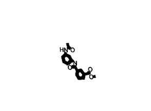 COC(=O)c1cccc(-c2nc3cc(NC(C)=O)ccc3o2)c1